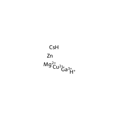 [CsH].[Cu+2].[Ga+3].[H+].[Mg+2].[Zn]